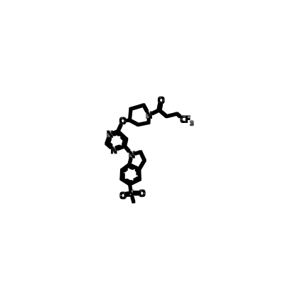 CS(=O)(=O)c1ccc2c(c1)CCN2c1cc(OC2CCN(C(=O)CCC(F)(F)F)CC2)ncn1